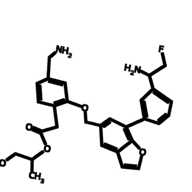 COCC(C)OC(=O)Cc1ccc(CN)cc1OCc1cc(-c2cccc(C(N)CF)c2)c2occc2c1